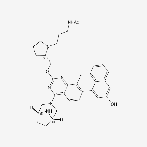 CC(=O)NCCCN1CCC[C@H]1COc1nc(N2C[C@H]3CC[C@@H](C2)N3)c2ccc(-c3cc(O)cc4ccccc34)c(F)c2n1